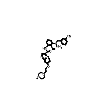 C=Cc1c(NC(=O)c2cnc3cc(OCCN4CCN(C)CC4)ccn23)cccc1N(N)Cc1cccc(C#N)c1